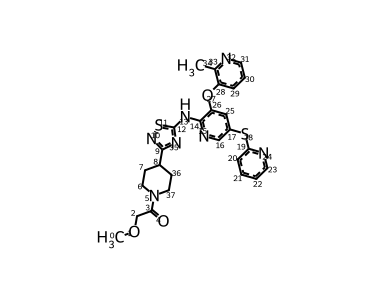 COCC(=O)N1CCC(c2nsc(Nc3ncc(Sc4ccccn4)cc3Oc3cccnc3C)n2)CC1